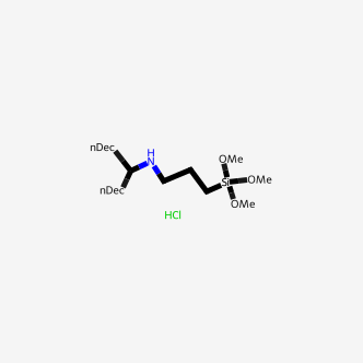 CCCCCCCCCCC(CCCCCCCCCC)NCCC[Si](OC)(OC)OC.Cl